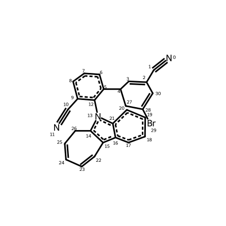 N#CC1=CC(c2cccc(C#N)c2-n2c3c(c4ccccc42)C=CC=CC3)CC(Br)=C1